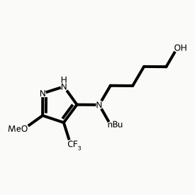 CCCCN(CCCCO)c1[nH]nc(OC)c1C(F)(F)F